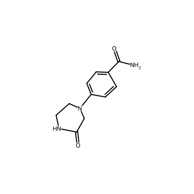 NC(=O)c1ccc(N2CCNC(=O)C2)cc1